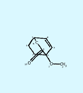 COC12C=CC(CC1)CC2=O